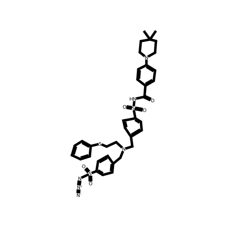 CC1(C)CCN(c2ccc(C(=O)NS(=O)(=O)c3ccc(CN(CCSc4ccccc4)Cc4ccc(S(=O)(=O)N=[N+]=[N-])cc4)cc3)cc2)CC1